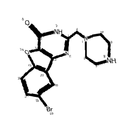 O=c1[nH]c(CN2CCNCC2)nc2c1oc1ccc(Br)cc12